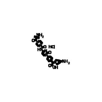 CC(C)(N)C(=O)N1CCN(C(=O)Nc2ccn(-c3ccc(C(C(=O)O)N4CC5C(N)C5C4)cc3)c(=O)n2)CC1.Cl